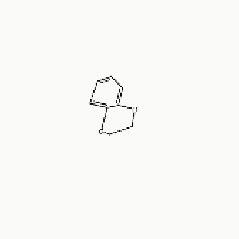 [c]1ccc2c(c1)OCCO2